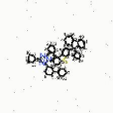 c1ccc(-c2cccc(-c3nc(-c4ccccc4)nc(-c4ccccc4-c4cccc5sc6cc(C7(c8ccccc8)c8ccccc8-c8ccccc87)ccc6c45)n3)c2)cc1